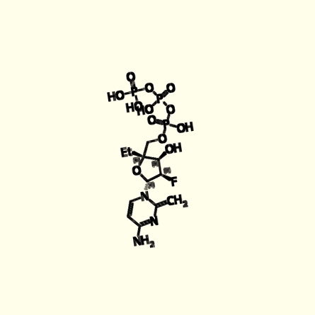 C=C1N=C(N)C=CN1[C@@H]1O[C@](CC)(COP(=O)(O)OP(=O)(O)OP(=O)(O)O)[C@@H](O)[C@H]1F